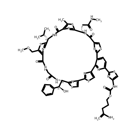 C=C(N)CCCOC(=O)Nc1csc(-c2ccc3c(n2)-c2csc(n2)-c2csc(n2)[C@H]([C@@H](O)c2ccccc2)NC(=O)CNC(=O)c2nc(sc2COC)[C@H](C(C)C)NC(=O)c2nc(sc2C)[C@H](CC(=O)NC)NC(=O)c2csc-3n2)n1